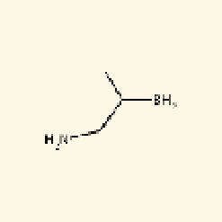 BC(C)CN